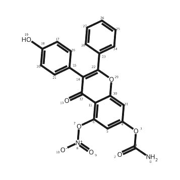 NC(=O)Oc1cc(O[N+](=O)[O-])c2c(=O)c(-c3ccc(O)cc3)c(-c3ccccc3)oc2c1